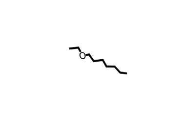 CCCCCCCOCC